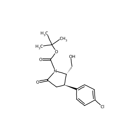 CC(C)(C)OC(=O)N1C(=O)C[C@H](c2ccc(Cl)cc2)[C@H]1CO